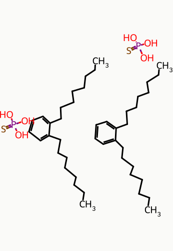 CCCCCCCCc1ccccc1CCCCCCCC.CCCCCCCCc1ccccc1CCCCCCCC.OP(O)(O)=S.OP(O)(O)=S